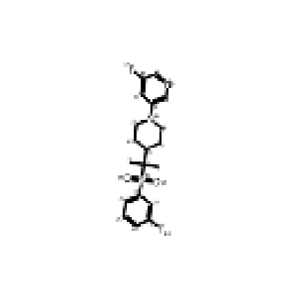 CC(C)(C1CCN(c2cncc(F)c2)CC1)S(=O)(=O)c1cccc(F)c1